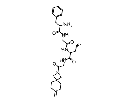 CC(C)CC(NC(=O)CNC(=O)C(N)Cc1ccccc1)C(=O)NCC(=O)N1CC2(CCNCC2)C1